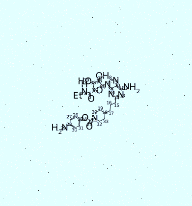 CCNC(=O)[C@H]1O[C@@H](n2cnc3c(N)nc(CCCC4CCN(C(=O)Oc5ccc(N)cc5)CC4)nc32)[C@@H](O)C1O